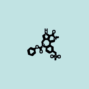 Cn1cc2c3c(c[nH]c3c1=O)CN(C(=O)Oc1ccccc1)c1ccc(CS(C)(=O)=O)cc1-2